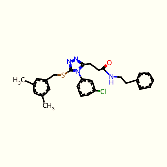 Cc1cc(C)cc(CSc2nnc(CCC(=O)NCCc3ccccc3)n2-c2cccc(Cl)c2)c1